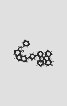 c1ccc(-n2nc3ccc4ccc5ccc(-c6ccc(-c7cccc8c7-c7ccccc7C87c8ccccc8-c8ccccc87)cc6)cc5c4c3n2)cc1